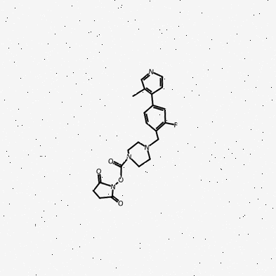 Cc1cnccc1-c1ccc(CN2CCN(C(=O)ON3C(=O)CCC3=O)CC2)c(F)c1